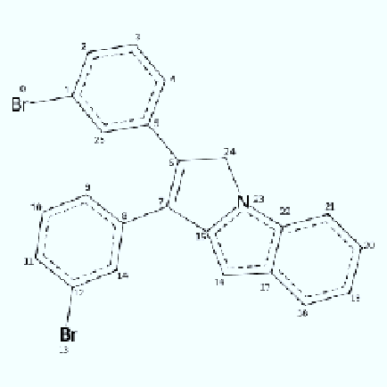 Brc1cccc(C2=C(c3cccc(Br)c3)c3cc4ccccc4n3C2)c1